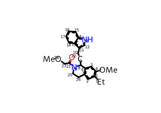 CCc1cc2c(cc1OC)C(CCc1c[nH]c3ccccc13)N(C(=O)COC)CC2